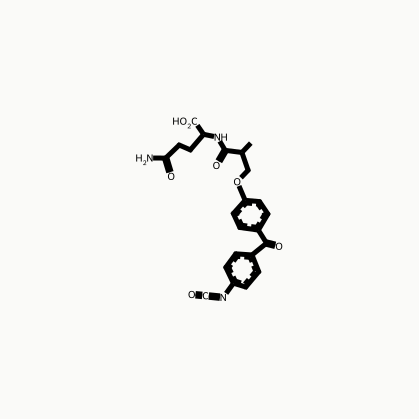 CC(COc1ccc(C(=O)c2ccc(N=C=O)cc2)cc1)C(=O)NC(CCC(N)=O)C(=O)O